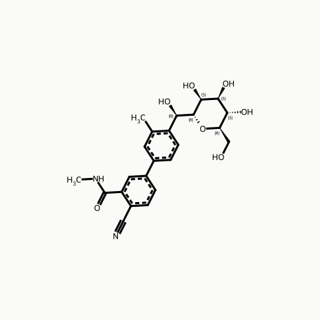 CNC(=O)c1cc(-c2ccc([C@@H](O)[C@H]3O[C@H](CO)[C@@H](O)[C@H](O)[C@@H]3O)c(C)c2)ccc1C#N